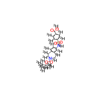 [2H]OC(=O)c1c([2H])c([2H])c(S(=O)(=O)N([2H])c2c([2H])c([2H])c3c(c2[2H])C([2H])C([2H])N(C(=O)OC(C([2H])([2H])[2H])(C([2H])([2H])[2H])C([2H])([2H])[2H])C([2H])C3[2H])c([2H])c1[2H]